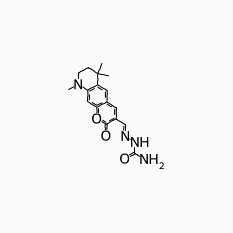 CN1CCC(C)(C)c2cc3cc(/C=N/NC(N)=O)c(=O)oc3cc21